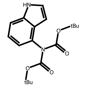 CC(C)(C)OC(=O)N(C(=O)OC(C)(C)C)c1cccc2[nH]ccc12